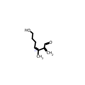 C=C(C=O)/C(C)=C\CCCO